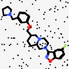 Fc1ccc2onc(N3CCN4CC(COc5cccc(CN6CCCC6)c5)CCC4C3)c2c1